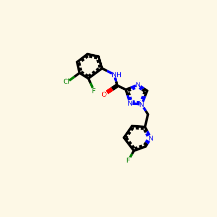 O=C(Nc1cccc(Cl)c1F)c1ncn(Cc2ccc(F)cn2)n1